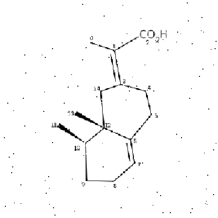 C/C(C(=O)O)=C1/CCC2=CCC[C@@H](C)[C@]2(C)C1